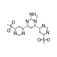 CS(=O)(=O)c1cc(-c2cc(-c3cc(S(C)(=O)=O)ncn3)nc(N)n2)ncn1